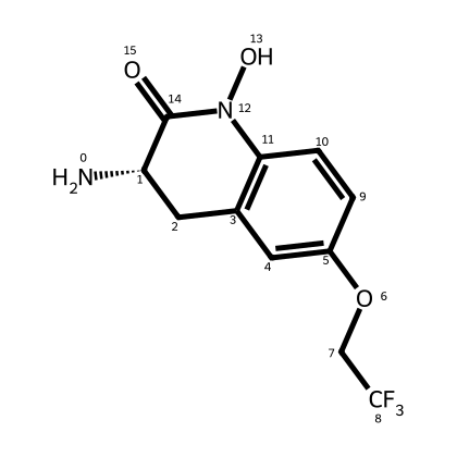 N[C@H]1Cc2cc(OCC(F)(F)F)ccc2N(O)C1=O